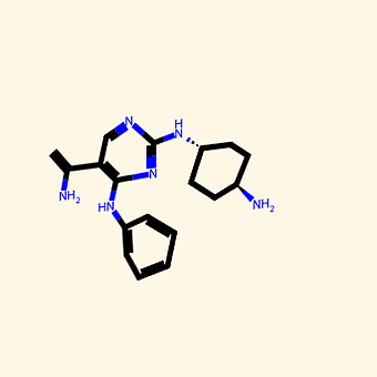 C=C(N)c1cnc(N[C@H]2CC[C@H](N)CC2)nc1Nc1ccccc1